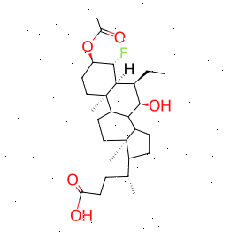 CC[C@@H]1[C@@H]2[C@@H](F)[C@H](OC(C)=O)CC[C@]2(C)C2CC[C@@]3(C)C(CCC3[C@H](C)CCC(=O)O)C2[C@@H]1O